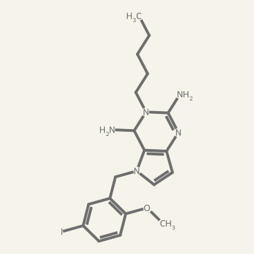 CCCCCN1C(N)=Nc2ccn(Cc3cc(I)ccc3OC)c2C1N